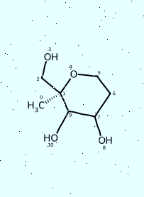 C[C@]1(CO)OCCC(O)C1O